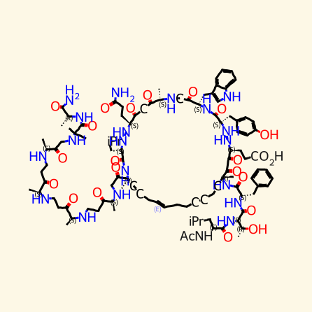 CC(=O)N[C@@H](CC(C)C)C(=O)N[C@H](C(=O)N[C@@H](Cc1ccccc1)C(=O)N[C@]1(C)CCCCCC/C=C/CCC[C@@](C)(C(=O)CN[C@@H](C)C(=O)CCN[C@@H](C)C(=O)CCN[C@@H](C)C(=O)CCN[C@@H](C)C(=O)CNC(C)(C)C(=O)N[C@H](C)C(N)=O)NC(=O)[C@H](CC(C)C)NN[C@@H](CCC(N)=O)C(=O)CC(=O)[C@H](C)NCC(=O)[C@H](Cc2c[nH]c3ccccc23)NC(=O)[C@H](Cc2ccc(O)cc2)NN[C@@H](CCC(=O)O)C(=O)C1=O)[C@@H](C)O